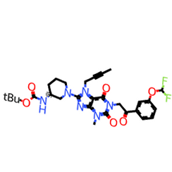 CC#CCn1c(N2CCC[C@@H](NC(=O)OC(C)(C)C)C2)nc2c1c(=O)n(CC(=O)c1cccc(OC(F)F)c1)c(=O)n2C